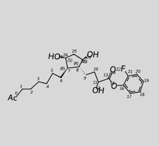 CC(=O)CCCCCC[C@@H]1[C@@H](CCC(O)C(=O)Oc2ccccc2F)[C@H](O)C[C@@H]1O